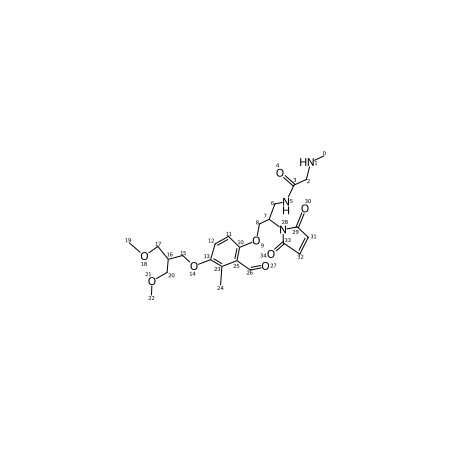 CNCC(=O)NCC(COc1ccc(OCC(COC)COC)c(C)c1C=O)N1C(=O)C=CC1=O